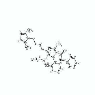 CCOC(=O)C(=O)C1=C(COCCn2c(C)nnc2C)NC(C)=C(C(=O)Nc2ccccn2)C1c1ccccc1Cl